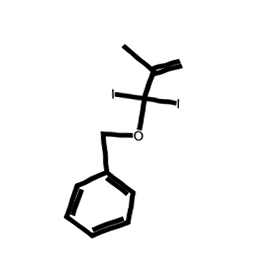 C=C(C)C(I)(I)OCc1ccccc1